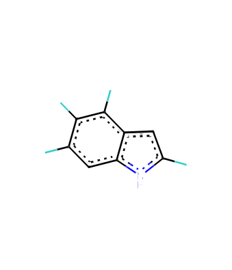 Fc1[c]c2c(F)c(F)c(F)cc2[nH]1